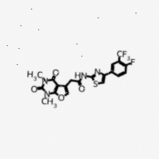 Cn1c(=O)c2c(CC(=O)Nc3nc(-c4ccc(F)c(C(F)(F)F)c4)cs3)coc2n(C)c1=O